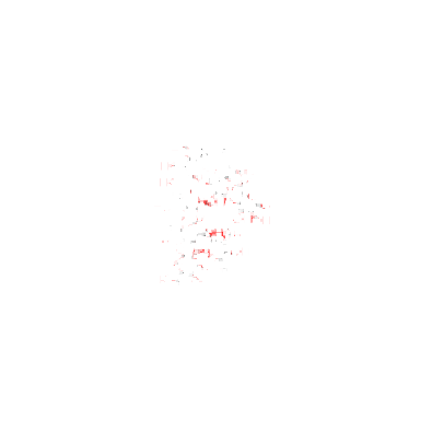 CC(=O)N[C@H]1[C@H](O[C@@H]2[C@H](O[C@H]3O[C@H](CO)[C@H](O)[C@H](O[C@@H]4O[C@H](CO)[C@@H](O[C@@H]5O[C@H](CO)[C@H](O)[C@H](O)[C@H]5O)[C@H](O[C@@H]5O[C@@H](C)[C@@H](O)[C@@H](O)[C@@H]5O)[C@H]4NC(C)=O)[C@H]3O)[C@@H](O)[C@H](O[C@H]3[C@H](O)[C@@H](O)[C@H](O)O[C@@H]3CO)O[C@@H]2CO)O[C@H](CO)[C@H](O)[C@@H]1O